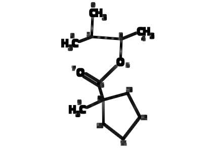 CC(C)C(C)OC(=O)C1(C)CCCC1